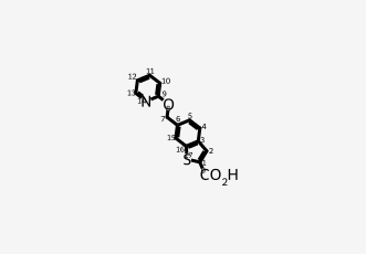 O=C(O)c1cc2ccc(COc3ccccn3)cc2s1